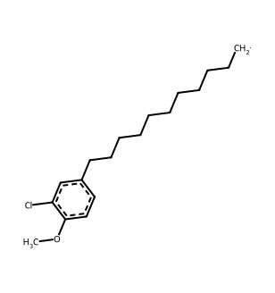 [CH2]CCCCCCCCCCc1ccc(OC)c(Cl)c1